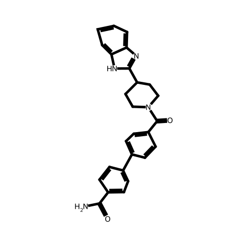 NC(=O)c1ccc(-c2ccc(C(=O)N3CCC(c4nc5ccccc5[nH]4)CC3)cc2)cc1